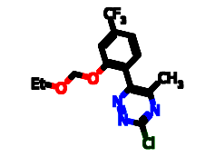 CCOCOc1cc(C(F)(F)F)ccc1-c1nnc(Cl)nc1C